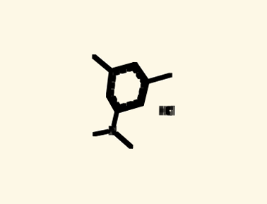 Cc1cc(C)cc(N(C)C)c1.Cl